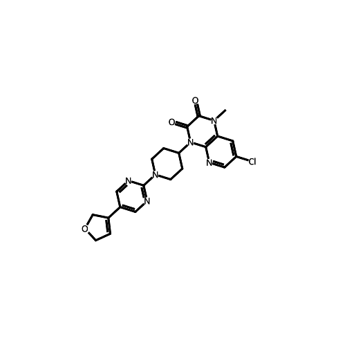 Cn1c(=O)c(=O)n(C2CCN(c3ncc(C4=CCOC4)cn3)CC2)c2ncc(Cl)cc21